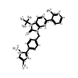 [2H]C([2H])([2H])n1c(=O)n(Cc2ccc(-c3nc(C(F)(F)F)cn3C)cc2)c2nc(-c3cccnc3C(C)C)ncc21